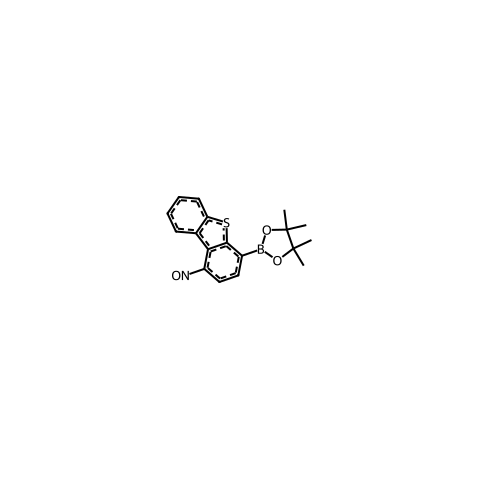 CC1(C)OB(c2ccc(N=O)c3c2sc2ccccc23)OC1(C)C